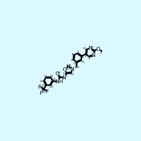 COc1ncc(-c2cccc(C[n+]3cc([N-]C(=O)Nc4cccc(C(F)(F)F)c4)on3)c2)cn1